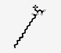 CCCCCC=CCCCCCCCCCCC(=O)OC(CC(=O)[O-])C[N+](C)(C)C